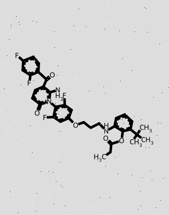 CCC(=O)Oc1c(NCCCOc2cc(F)c(-n3c(N)c(C(=O)c4ccc(F)cc4F)ccc3=O)c(F)c2)cccc1C(C)(C)C